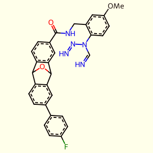 COc1ccc(N(C=N)N=N)c(CNC(=O)c2ccc3c(c2)C2OC3c3ccc(-c4ccc(F)cc4)cc32)c1